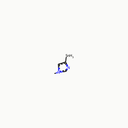 Cn1cn[c]([SnH3])c1